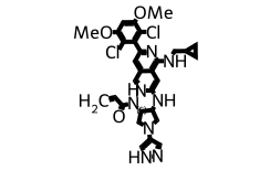 C=CC(=O)N[C@H]1CN(c2cn[nH]c2)CC1Nc1cc2c(NCC3CC3)nc(-c3c(Cl)c(OC)cc(OC)c3Cl)cc2cn1